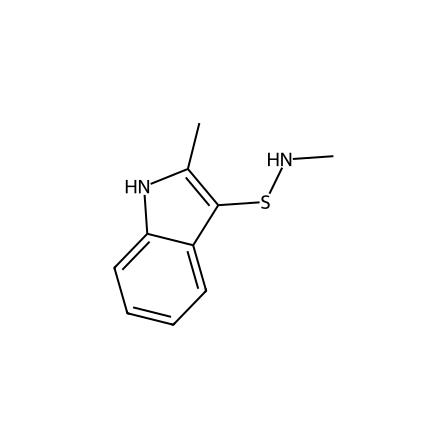 CNSc1c(C)[nH]c2ccccc12